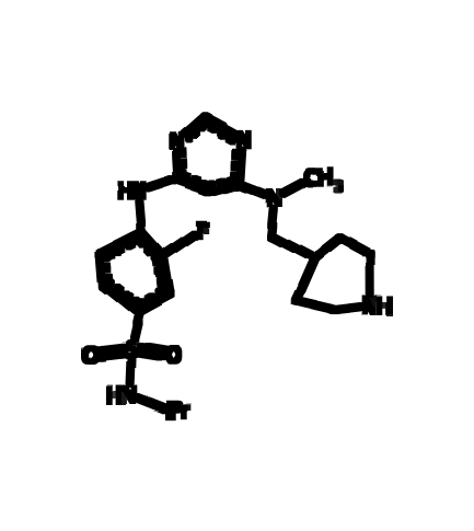 CC(C)NS(=O)(=O)c1ccc(Nc2cc(N(C)CC3CCNCC3)ncn2)c(F)c1